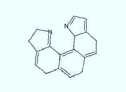 C1=NC2C(=C1)CC=C1CC=C3CC=C4CCN=C4C3=C12